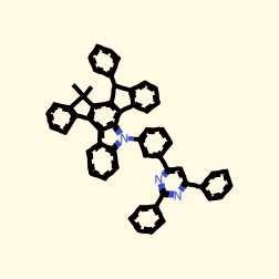 CC1(C)c2ccccc2-c2c1c1c(c3c2c2ccccc2n3-c2cccc(-c3cc(-c4ccccc4)nc(-c4ccccc4)n3)c2)-c2ccccc2C1c1ccccc1